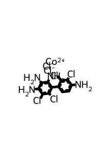 Nc1ccc(-c2c(N)c(N)c(N)c(Cl)c2Cl)c(Cl)c1Cl.[Cl-].[Cl-].[Co+2]